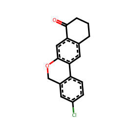 O=C1CCCc2cc3c(cc21)OCc1cc(Cl)ccc1-3